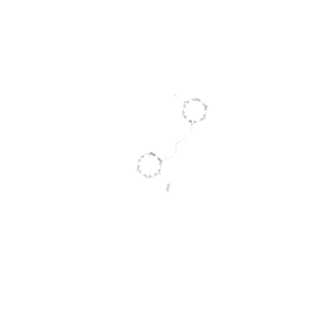 O=Cc1ccccc1OCOc1cccc(Cl)c1